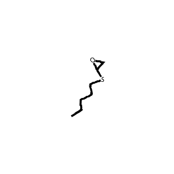 CCCCCSC1CO1